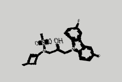 CC1CC(N(CC(O)Cn2c3ccc(F)cc3c3cc(F)ccc32)S(C)(=O)=O)C1